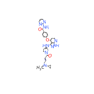 CN(C/C=C/C(=O)N1CC[C@@H](Nc2n[nH]c3nccc(Oc4ccc(C(=O)Nc5ncccn5)cc4)c23)C1)C1CC1